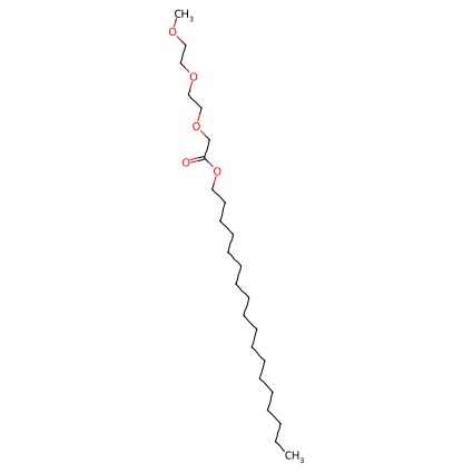 CCCCCCCCCCCCCCCCCCOC(=O)COCCOCCOC